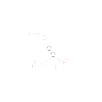 C=C(C)C(=O)OCCCc1cc(-c2ccc(OCC3CCC(CCCCC)CC3)cc2)ccc1OCC(CCC)(COC(=O)C(C)=O)COC(=O)C(C)=O